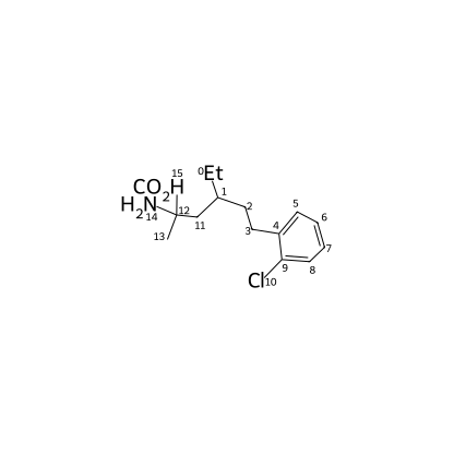 CCC(CCc1ccccc1Cl)CC(C)(N)C(=O)O